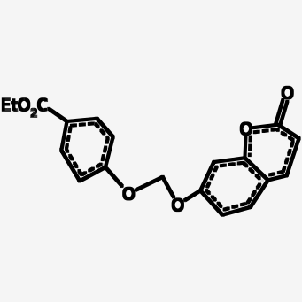 CCOC(=O)c1ccc(OCOc2ccc3ccc(=O)oc3c2)cc1